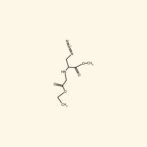 CCOC(=O)CNC(CN=[N+]=[N-])C(=O)OC